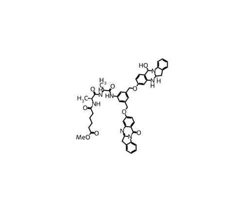 COC(=O)CCCCC(=O)N[C@@H](C)C(=O)N[C@@H](C)C(=O)Nc1cc(COc2ccc3c(c2)N[C@@H]2Cc4ccccc4N2C3O)cc(COc2ccc3c(=O)n4c(nc3c2)Cc2ccccc2-4)c1